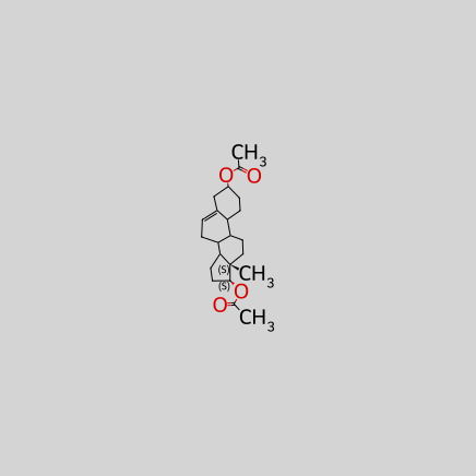 CC(=O)OC1CCC2C(=CCC3C2CC[C@@]2(C)C3CC[C@@H]2OC(C)=O)C1